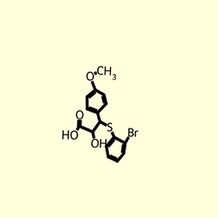 COc1ccc(C(Sc2ccccc2Br)C(O)C(=O)O)cc1